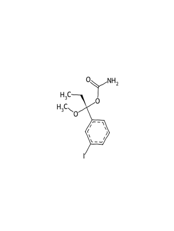 CC[C@@](OC)(OC(N)=O)c1cccc(I)c1